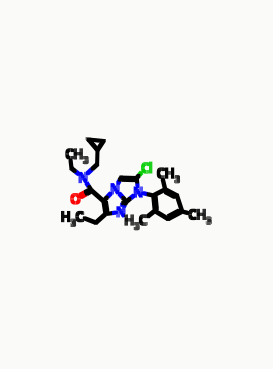 CCc1nc2n(-c3c(C)cc(C)cc3C)c(Cl)cn2c1C(=O)N(CC)CC1CC1